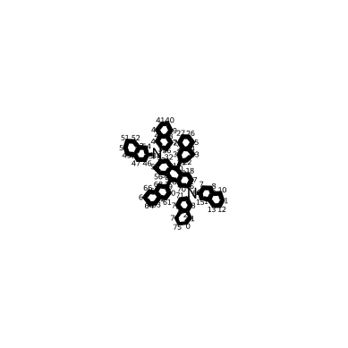 C1=Cc2cc(N(c3ccc4ccccc4c3)c3ccc4c(-c5ccc6ccccc6c5)c5cc(N(c6ccc7ccccc7c6)c6ccc7ccccc7c6)ccc5c(-c5ccc6ccccc6c5)c4c3)ccc2CC1